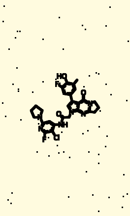 Cc1cc(-c2cn(CC(=O)Nc3cc(N4CCCC4)nc(F)c3Cl)c3nc4n(c(=O)c23)CCC4)cc(F)c1O